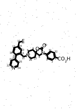 O=C(O)c1ccc(N2CC3(CCN(Cc4cc(CF)ccc4-c4ccncc4)CC3)OC2=O)cc1